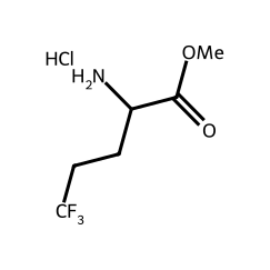 COC(=O)C(N)CCC(F)(F)F.Cl